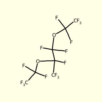 FC(F)(F)C(F)(F)OC(F)(F)C(F)(OC(F)(F)C(F)(F)F)C(F)(F)F